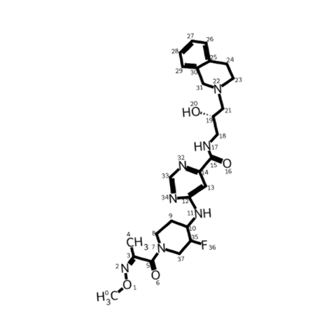 CO/N=C(/C)C(=O)N1CCC(Nc2cc(C(=O)NC[C@H](O)CN3CCc4ccccc4C3)ncn2)C(F)C1